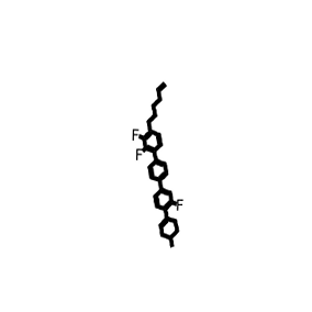 C=CCCCCc1ccc(-c2ccc(-c3ccc(C4=CCC(C)CC4)c(F)c3)cc2)c(F)c1F